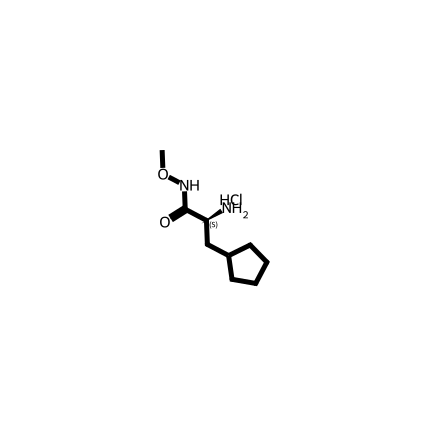 CONC(=O)[C@@H](N)CC1CCCC1.Cl